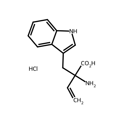 C=CC(N)(Cc1c[nH]c2ccccc12)C(=O)O.Cl